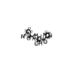 C[C@@H](CN1C(=O)[C@@H]2C[C@H]1CN2C(=O)c1cnccn1)C(=O)N1CCC[C@H]1C#N